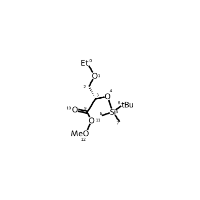 CCOC[C@H](O[Si](C)(C)C(C)(C)C)C(=O)OOC